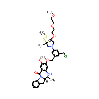 COCCOCCOCCN(CC(C)(C)SSC)c1cc(CCl)cc(COc2cc3c(cc2OC)C(=O)N2c4ccccc4C[C@H]2C(C)N3)c1